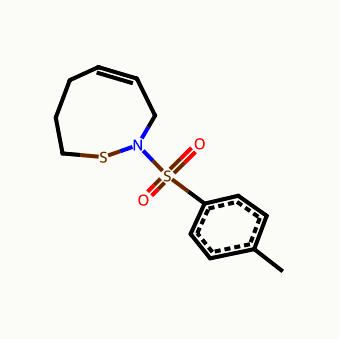 Cc1ccc(S(=O)(=O)N2C/C=C\CCCS2)cc1